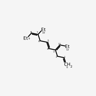 C=CCC(C=CCC(=CCC)CC)=CCC